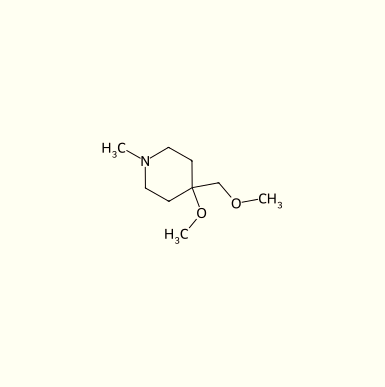 COCC1(OC)CCN(C)CC1